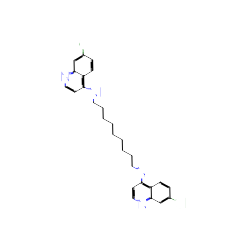 Clc1ccc2c(NCCCCCCCCCNc3ccnc4cc(Cl)ccc34)ccnc2c1